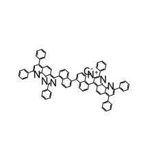 [C-]#[N+]c1c(-c2ccccc2)nc2c(ccc3c(-c4ccccc4)cc(-c4ccccc4)nc32)c1-c1cccc2c(-c3cccc4c(-c5nc(-c6ccccc6)nc6c5ccc5c(-c7ccccc7)cc(-c7ccccc7)nc56)cccc34)cccc12